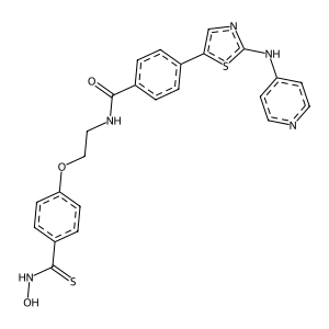 O=C(NCCOc1ccc(C(=S)NO)cc1)c1ccc(-c2cnc(Nc3ccncc3)s2)cc1